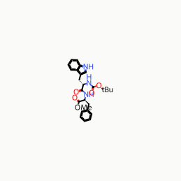 COC(=O)[C@H](Cc1ccccc1)NC(=O)[C@H](Cc1c[nH]c2ccccc12)NC(=O)OC(C)(C)C